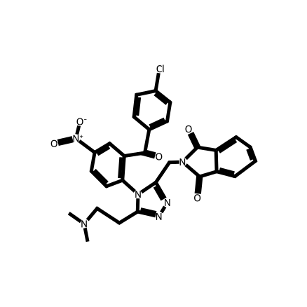 CN(C)CCc1nnc(CN2C(=O)c3ccccc3C2=O)n1-c1ccc([N+](=O)[O-])cc1C(=O)c1ccc(Cl)cc1